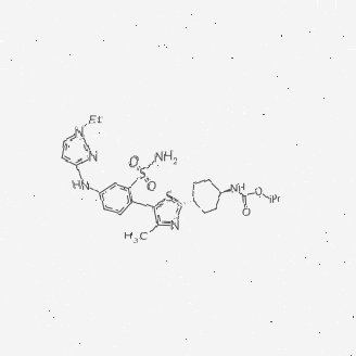 CCn1ccc(Nc2ccc(-c3sc([C@H]4CC[C@H](NC(=O)OC(C)C)CC4)nc3C)c(S(N)(=O)=O)c2)n1